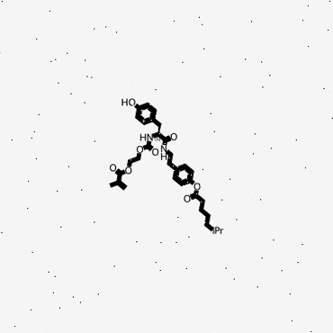 C=C(C)C(=O)OCCOC(=O)N[C@@H](Cc1ccc(O)cc1)C(=O)NCCc1ccc(OC(=O)CCCCC(C)C)cc1